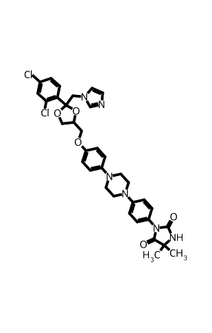 CC1(C)NC(=O)N(c2ccc(N3CCN(c4ccc(OCC5COC(Cn6ccnc6)(c6ccc(Cl)cc6Cl)O5)cc4)CC3)cc2)C1=O